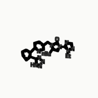 CCCCc1cn(-c2ncnn2CC)c(=O)n1Cc1ccc(-c2ccccc2-c2nnn[nH]2)nc1